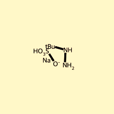 CC(C)(C)NN.O=S(=O)([O-])O.[Na+]